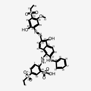 CCS(=O)(=O)c1ccc(/N=N/c2c(Nc3ccccc3)ccc3c(O)c(/N=N/c4cc(OC)c(S(=O)(=O)CC)cc4O)ccc23)c(S(=O)(=O)O)c1